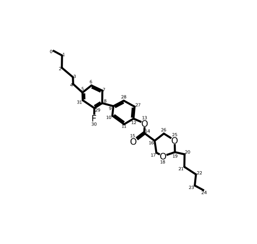 CCCCCc1ccc(-c2ccc(OC(=O)C3COC(CCCCC)OC3)cc2)c(F)c1